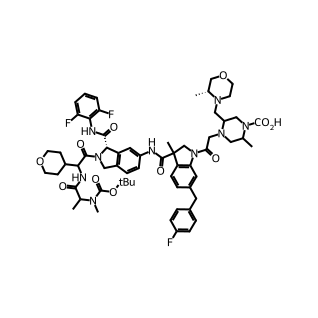 CC(C(=O)NC(C(=O)N1Cc2ccc(NC(=O)C3(C)CN(C(=O)CN4CC(C)N(C(=O)O)CC4CN4CCOC[C@H]4C)c4cc(Cc5ccc(F)cc5)ccc43)cc2[C@H]1C(=O)Nc1c(F)cccc1F)C1CCOCC1)N(C)C(=O)OC(C)(C)C